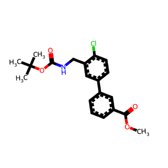 COC(=O)c1cccc(-c2ccc(Cl)c(CNC(=O)OC(C)(C)C)c2)c1